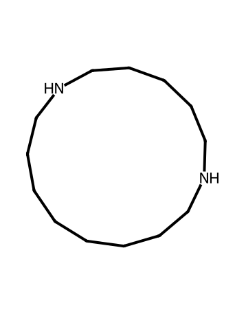 C1CCCCNCCCCCNCCC1